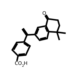 C=C(c1ccc(C(=O)O)cc1)c1ccc2c(c1)C(=O)CCC2(C)C